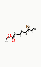 CCC(Br)CCCCC(=O)OC